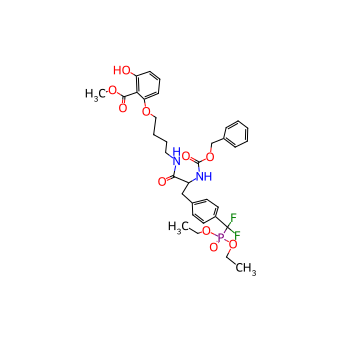 CCOP(=O)(OCC)C(F)(F)c1ccc(CC(NC(=O)OCc2ccccc2)C(=O)NCCCCOc2cccc(O)c2C(=O)OC)cc1